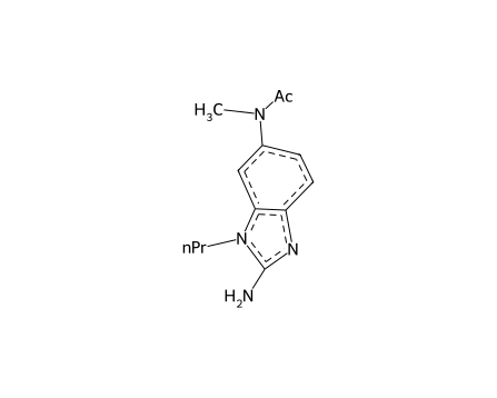 CCCn1c(N)nc2ccc(N(C)C(C)=O)cc21